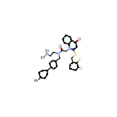 CCN(CC)CCN(Cc1ccc(-c2ccc(C(C)C)cc2)cc1)C(=O)Cn1c(SCc2cccc(F)c2F)cc(=O)c2ccccc21